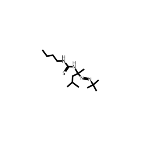 CCCCNC(=S)NC(C)(CC(C)C)/N=N/C(C)(C)C